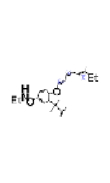 C=C(C)C(C)(C)c1cc(ONCC)ccc1O/C=C/C=C\C=C(/C)CC